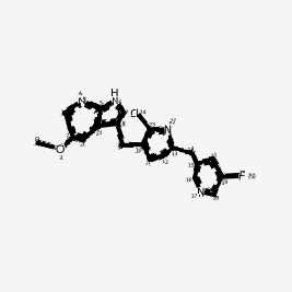 COc1cnc2[nH]cc(Cc3ccc([CH]c4cncc(F)c4)nc3Cl)c2c1